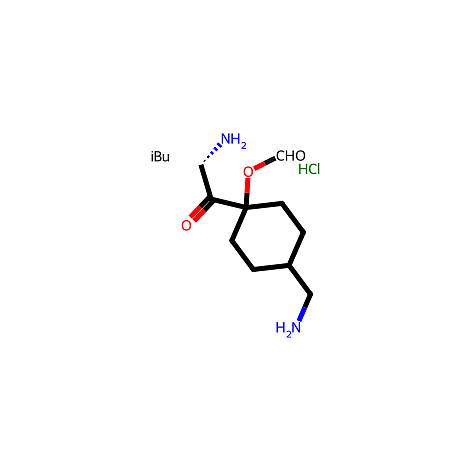 CC[C@H](C)[C@H](N)C(=O)C1(OC=O)CCC(CN)CC1.Cl